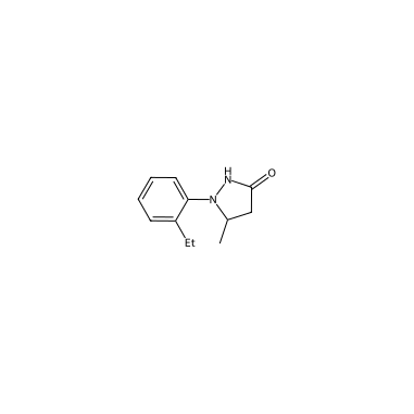 CCc1ccccc1N1NC(=O)CC1C